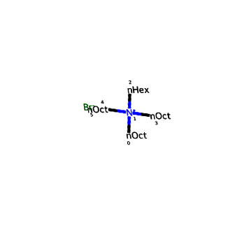 CCCCCCCC[N+](CCCCCC)(CCCCCCCC)CCCCCCCC.[Br-]